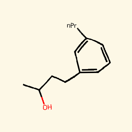 CCCc1cccc(CCC(C)O)c1